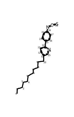 CCCCCCCCCCCc1ccc(-c2ccc(N=C=S)cc2)nc1